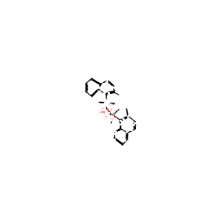 Cc1ccc2ccccc2c1[Si](C)(C)[Cr](=[O])(=[O])([OH])([OH])[Si](C)(C)c1c(C)ccc2ccccc12